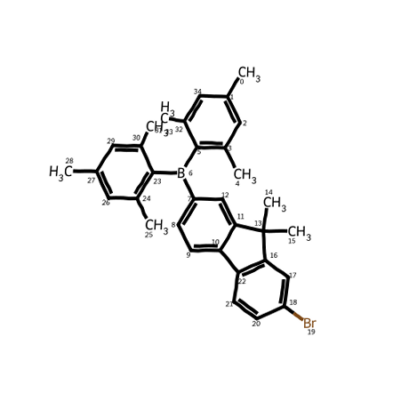 Cc1cc(C)c(B(c2ccc3c(c2)C(C)(C)c2cc(Br)ccc2-3)c2c(C)cc(C)cc2C)c(C)c1